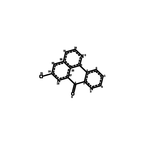 O=C1c2ncccc2-c2nccc3cc(Cl)nc1c23